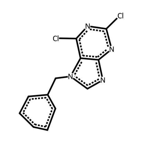 Clc1nc(Cl)c2c(ncn2Cc2ccccc2)n1